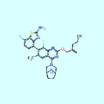 C=C(CCC#N)COc1nc(N2CC3CCC(C2)N3)c2cc(C(F)(F)F)c(-c3ccc(F)c4sc(N)nc34)c(F)c2n1